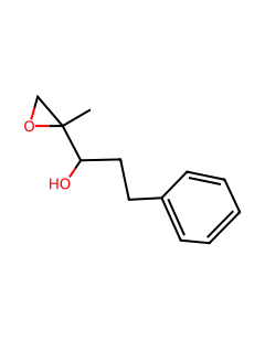 CC1(C(O)CCc2ccccc2)CO1